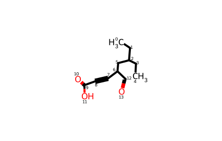 CCC(CC)CC(C#CC(=O)O)C=O